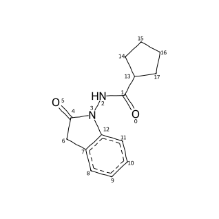 O=C(NN1C(=O)Cc2ccccc21)C1CCCC1